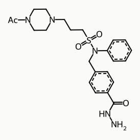 CC(=O)N1CCN(CCCS(=O)(=O)N(Cc2ccc(C(=O)NN)cc2)c2ccccc2)CC1